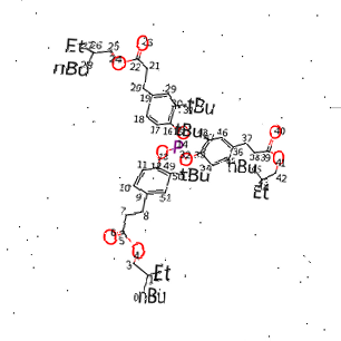 CCCCC(CC)COC(=O)CCc1ccc(OP(Oc2ccc(CCC(=O)OCC(CC)CCCC)cc2C(C)(C)C)Oc2ccc(CCC(=O)OCC(CC)CCCC)cc2C(C)(C)C)c(C(C)(C)C)c1